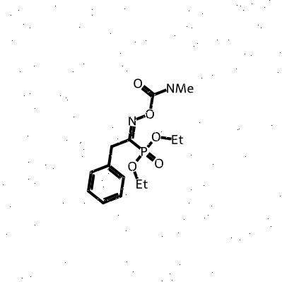 CCOP(=O)(OCC)C(Cc1ccccc1)=NOC(=O)NC